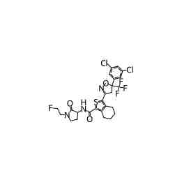 O=C(NC1CCN(CCF)C1=O)c1sc(C2=NOC(c3cc(Cl)cc(Cl)c3)(C(F)(F)F)C2)c2c1CCCC2